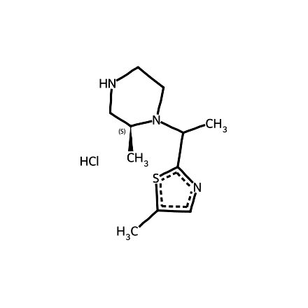 Cc1cnc(C(C)N2CCNC[C@@H]2C)s1.Cl